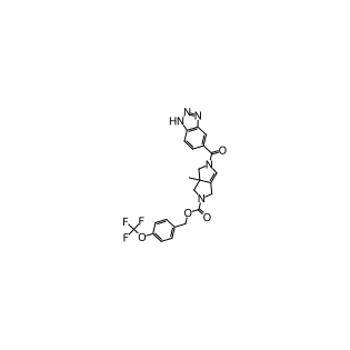 CC12CN(C(=O)c3ccc4[nH]nnc4c3)C=C1CN(C(=O)OCc1ccc(OC(F)(F)F)cc1)C2